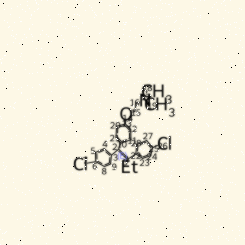 CC/C(=C(\c1ccc(Cl)cc1)c1ccc(OCCN(C)C)cc1)c1ccc(Cl)cc1